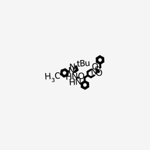 Cc1ccc(-n2nc(C(C)(C)C)cc2NC(=O)Nc2ccccc2CC2CCN(S(=O)(=O)Cc3ccccc3)CC2)cc1